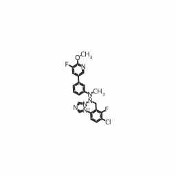 COc1ncc(-c2cccc(N(C)N3Cc4c(ccc(Cl)c4F)-[n+]4cncn43)c2)cc1F